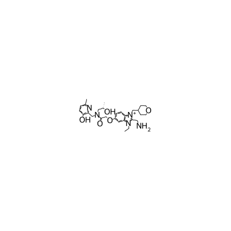 CCn1c(CN)[n+](CC2CCOCC2)c2ccc(OCC(=O)N(Cc3nc(C)ccc3O)C[C@H](C)O)cc21